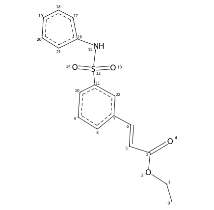 CCOC(=O)C=Cc1cccc(S(=O)(=O)Nc2ccccc2)c1